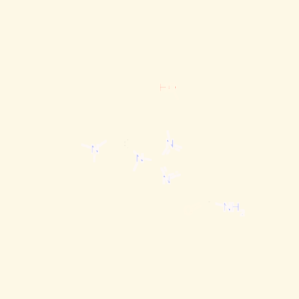 CCCN1CCCN(c2nc3c(C(N)=O)cccc3n2CCO)CC1